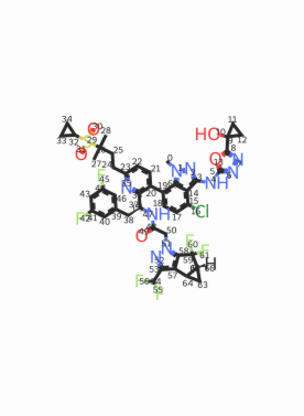 Cn1nc(Nc2nnc(C3(O)CC3)o2)c2c(Cl)ccc(-c3ccc(CCC(C)(C)S(=O)(=O)C4CC4)nc3[C@H](Cc3cc(F)cc(F)c3)NC(=O)Cn3nc(C(F)F)c4c3C(F)(F)[C@@H]3CC43)c21